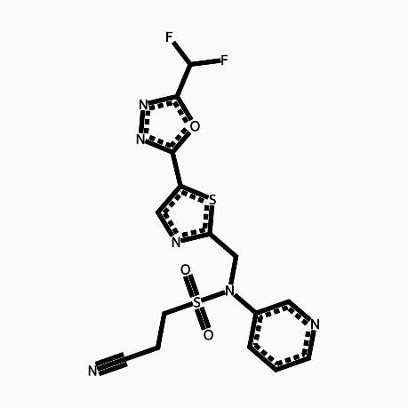 N#CCCS(=O)(=O)N(Cc1ncc(-c2nnc(C(F)F)o2)s1)c1cccnc1